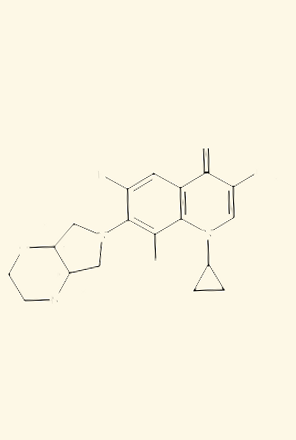 O=C(O)c1cn(C2CC2)c2c(F)c(N3C[C@@H]4OCCN[C@@H]4C3)c(F)cc2c1=O